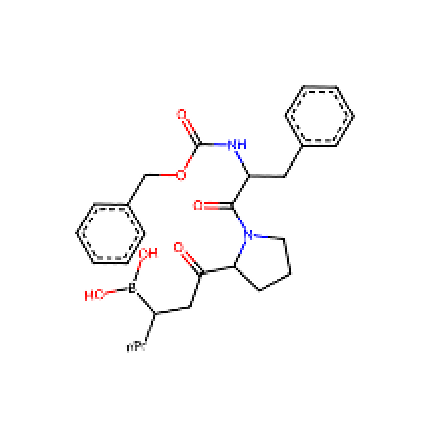 CCCC(CC(=O)C1CCCN1C(=O)C(Cc1ccccc1)NC(=O)OCc1ccccc1)B(O)O